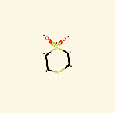 O=S1(=O)CCSCC1